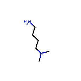 CN(C)CCC[CH]N